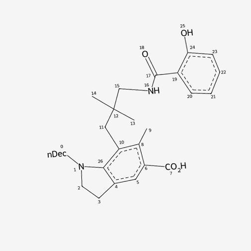 CCCCCCCCCCN1CCc2cc(C(=O)O)c(C)c(CC(C)(C)CNC(=O)c3ccccc3O)c21